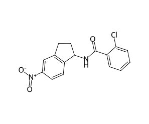 O=C(NC1CCc2cc([N+](=O)[O-])ccc21)c1ccccc1Cl